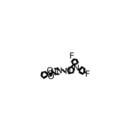 O=S(=O)(c1ccccc1)N1CCN(CCN2CCC3C(C2)c2cc(F)ccc2N3c2ccc(F)cc2)CC1